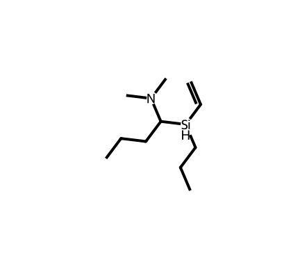 C=C[SiH](CCC)C(CCC)N(C)C